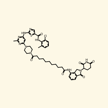 Cc1nc(Nc2ncc(C(=O)Nc3c(C)cccc3Cl)s2)cc(N2CCN(C(=O)CCCCCCCCCC(=O)Nc3cccc4c3CN(C3CCC(=O)NC3=O)C4=O)CC2)n1